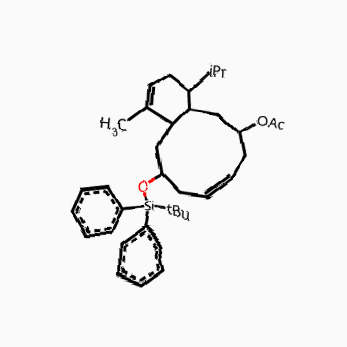 CC(=O)OC1CC=CCC(O[Si](c2ccccc2)(c2ccccc2)C(C)(C)C)CC2C(C)=CCC(C(C)C)C2C1